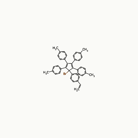 C=Cc1ccc(C2(Br)C(c3ccc(C)cc3)=C(c3ccc(C)cc3)C(c3ccc(C)cc3)=C2c2ccc(C)cc2)cc1